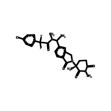 BC(c1ccc2c(c1)CN([C@]1(B)CCC(=O)N(B)C1=O)C2=O)N(B)C(=O)C(F)(F)c1ccc(Cl)cc1